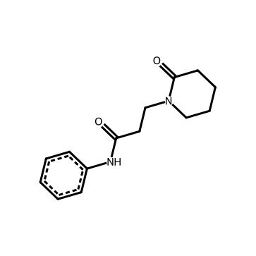 O=C(CCN1CCCCC1=O)Nc1ccccc1